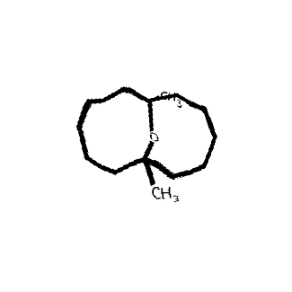 CC12CCCCCC(C)(CCCCC1)O2